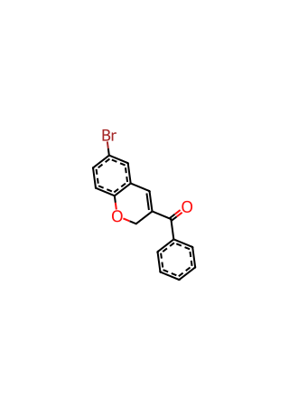 O=C(C1=Cc2cc(Br)ccc2OC1)c1ccccc1